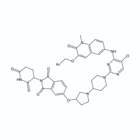 CC(=O)COc1cc2cc(Nc3nc(N4CCC(N5CCC(Oc6ccc7c(c6)C(=O)N(C6CCC(=O)NC6=O)C7=O)C5)CC4)ncc3Cl)ccc2n(C)c1=O